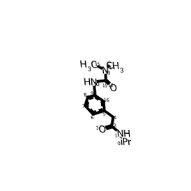 CC(C)NC(=O)Cc1cccc(NC(=O)N(C)C)c1